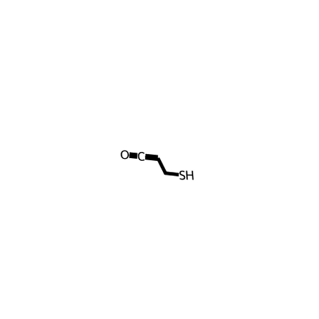 O=C=CCS